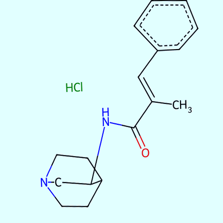 CC(=Cc1ccccc1)C(=O)NC1CN2CCC1CC2.Cl